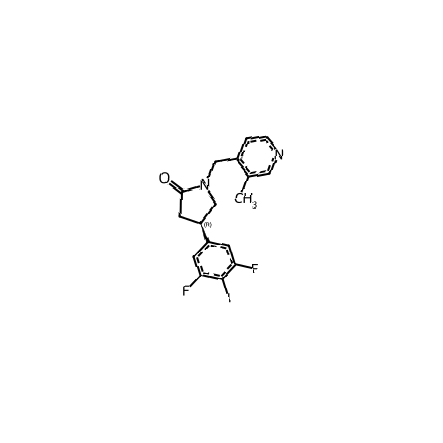 Cc1cnccc1CN1C[C@@H](c2cc(F)c(I)c(F)c2)CC1=O